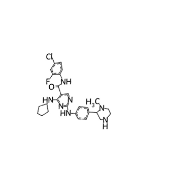 CN1CCNCC1c1ccc(Nc2ncc(C(=O)Nc3ccc(Cl)cc3F)c(NC3CCCC3)n2)cc1